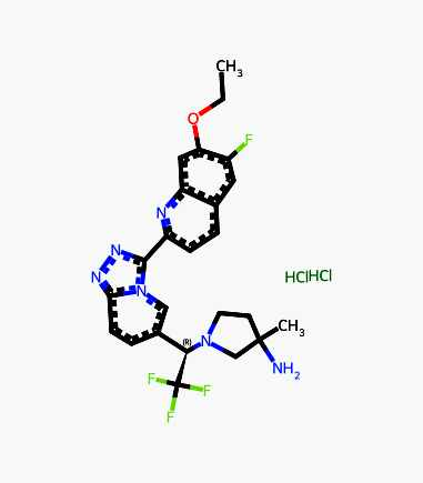 CCOc1cc2nc(-c3nnc4ccc([C@@H](N5CCC(C)(N)C5)C(F)(F)F)cn34)ccc2cc1F.Cl.Cl